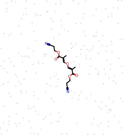 C/C(=C\O/C=C(\C)C(=O)OCCC#N)C(=O)OCCC#N